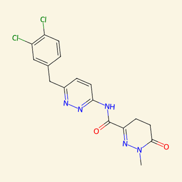 CN1N=C(C(=O)Nc2ccc(Cc3ccc(Cl)c(Cl)c3)nn2)CCC1=O